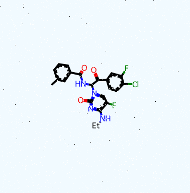 CCNc1nc(=O)n(C(NC(=O)c2cccc(C)c2)C(=O)c2ccc(Cl)c(F)c2)cc1F